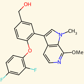 COc1nccc2c(-c3cc(CO)ccc3Oc3ccc(F)cc3F)cn(C)c12